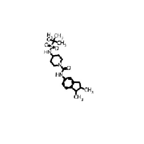 CC1Cc2cc(NC(=O)N3CCC(NS(=O)(=O)C(C)(C)C)CC3)ccc2C1C